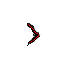 Cl.Cl.Cl.Cl.[Cl-].[Cl-].[Cl-].[Cl-].[Cl-].[Cl-].[Cl-].[Cl-].[Cl-].[Cl-].[Cl-].[Cl-].[Cl-].[Cl-].[Cl-].[Cl-].[Cl-].[Cl-].[Cl-].[Cl-].[Cl-].[Cl-].[Cl-].[Cl-].[Cl-].[Cl-].[Cl-].[Cl-].[Cl-].[Cl-].[Cl-].[Cl-].[Cl-].[Cl-].[Cl-].[Cl-].[Cl-].[Cl-].[Cl-].[Cl-].[K+].[K+].[K+].[K+].[K+].[K+].[K+].[K+].[K+].[K+].[K+].[K+].[K+].[K+].[K+].[K+].[K+].[K+].[K+].[K+].[K+].[K+].[K+].[K+].[K+].[K+].[K+].[K+].[K+].[K+].[K+].[K+].[K+].[K+].[K+].[K+].[K+].[K+].[K+].[K+]